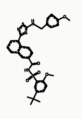 COc1ccc(CNc2nc(-c3cccc4cc(C(=O)NS(=O)(=O)c5cc(C(C)(C)C)ccc5OC)ccc34)ns2)cc1